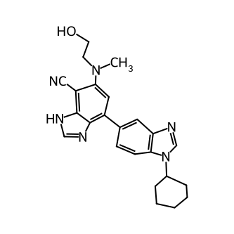 CN(CCO)c1cc(-c2ccc3c(c2)ncn3C2CCCCC2)c2nc[nH]c2c1C#N